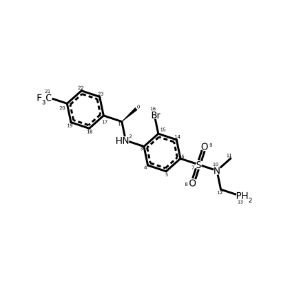 C[C@@H](Nc1ccc(S(=O)(=O)N(C)CP)cc1Br)c1ccc(C(F)(F)F)cc1